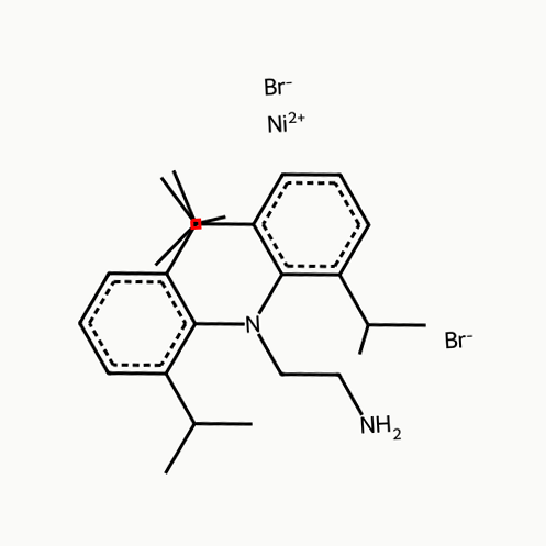 CC(C)c1cccc(C(C)C)c1N(CCN)c1c(C(C)C)cccc1C(C)C.[Br-].[Br-].[Ni+2]